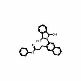 O=C(CCc1cc2ccccc2cc1N1C(O)c2ccccc2C1O)Oc1ccccc1